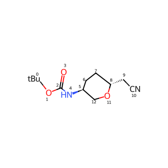 CC(C)(C)OC(=O)N[C@H]1CC[C@H](CC#N)OC1